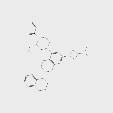 C=CC(=O)N1CCN(c2nc(N3CC(N(C)C)C3)nc3c2CC[C@@H](N2CCCc4ccccc42)C3)C[C@@H]1CC#N